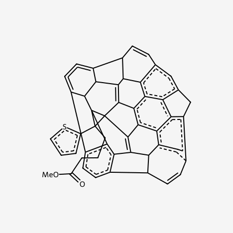 COC(=O)CCCC1(c2cccs2)C23C4=C5C6C7=C=C=C8c9ccc%10c(c9C21C86)C1=C3c2c4c3c4c(cc6c3c3c(c8cc(c23)C1C%10C=C8)C6)C=CC7C54